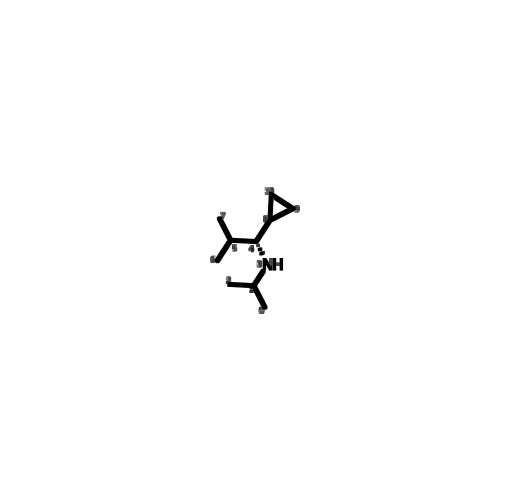 CC(C)N[C@H](C(C)C)C1CC1